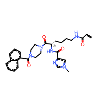 C=CC(=O)NCCCC[C@H](NC(=O)c1cn(C)cn1)C(=O)N1CCN(C(=O)c2cccc3ccccc23)CC1